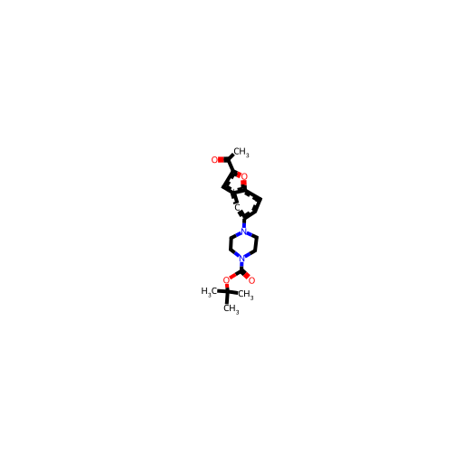 CC(=O)c1cc2cc(N3CCN(C(=O)OC(C)(C)C)CC3)ccc2o1